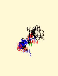 [C-]#[N+]c1cnn(-c2ccc(S(N)(=O)=O)cc2[N+](=O)[O-])c1/N=N/c1cc(Cl)c(O)c(NC(=O)C(CC)Oc2ccc(C(C)(C)CC)cc2C(C)(C)CC)c1